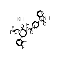 O=C(N[C@@H]1CC[C@@H](c2cccc(F)c2F)CN(CC(F)(F)F)C1=O)N1CCC(n2c(=O)[nH]c3ncccc32)CC1.[KH]